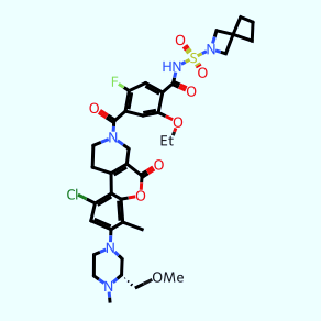 CCOc1cc(C(=O)N2CCc3c(c(=O)oc4c(C)c(N5CCN(C)[C@@H](COC)C5)cc(Cl)c34)C2)c(F)cc1C(=O)NS(=O)(=O)N1CC2(CCC2)C1